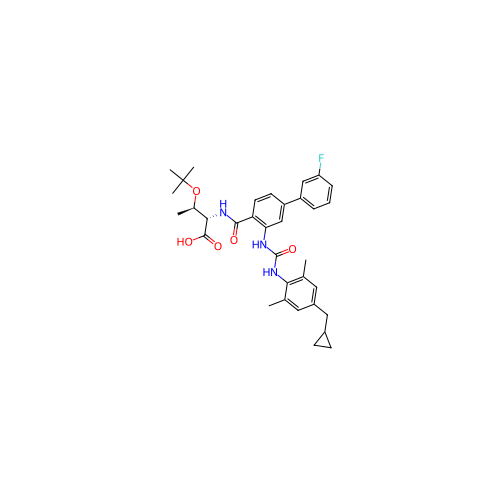 Cc1cc(CC2CC2)cc(C)c1NC(=O)Nc1cc(-c2cccc(F)c2)ccc1C(=O)N[C@H](C(=O)O)[C@@H](C)OC(C)(C)C